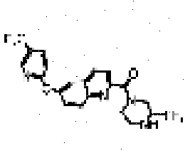 O=C(c1ccc2cc(Oc3ccc(C(F)(F)F)cn3)ccc2n1)N1CCNC(C(F)(F)F)C1